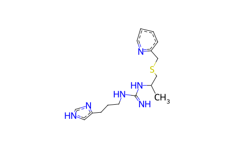 CC(CSCc1ccccn1)NC(=N)NCCCc1c[nH]cn1